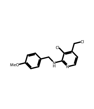 COc1ccc(CNc2nccc(CCl)c2Cl)cc1